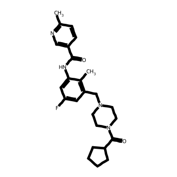 Cc1ccc(C(=O)Nc2cc(F)cc(CN3CCN(C(=O)C4CCCC4)CC3)c2C)cn1